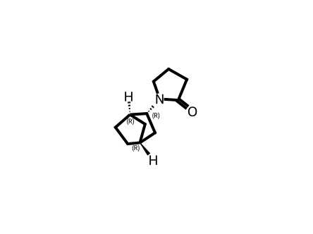 O=C1CCCN1[C@@H]1C[C@@H]2CC[C@@H]1C2